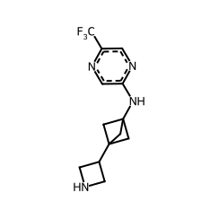 FC(F)(F)c1cnc(NC23CC(C4CNC4)(C2)C3)cn1